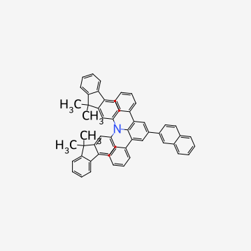 CC1(C)c2ccccc2-c2ccc(N(c3ccc4c(c3)C(C)(C)c3ccccc3-4)c3c(-c4ccccc4)cc(-c4ccc5ccccc5c4)cc3-c3ccccc3)cc21